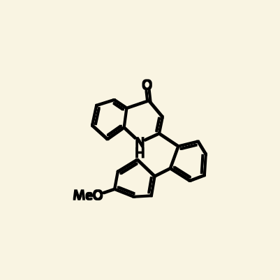 COc1ccc(-c2ccccc2-c2cc(=O)c3ccccc3[nH]2)cc1